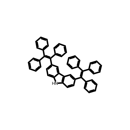 c1ccc(C(=C(c2ccccc2)c2ccc3[nH]c4ccc(C(=C(c5ccccc5)c5ccccc5)c5ccccc5)cc4c3c2)c2ccccc2)cc1